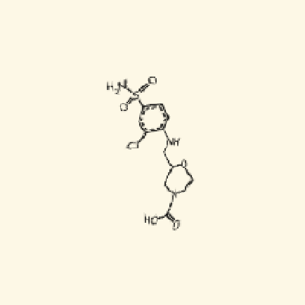 NS(=O)(=O)c1ccc(NCC2CN(C(=O)O)CCO2)c(Cl)c1